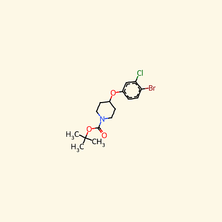 CC(C)(C)OC(=O)N1CCC(Oc2ccc(Br)c(Cl)c2)CC1